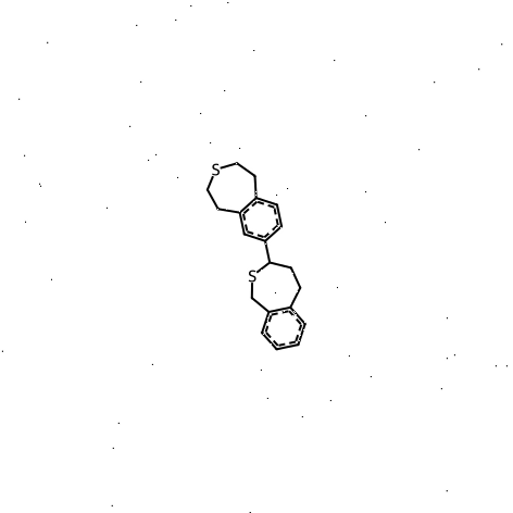 c1ccc2c(c1)CCC(c1ccc3c(c1)CCSCC3)SC2